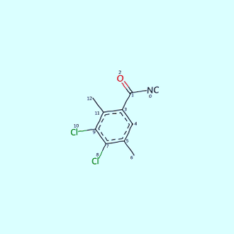 [C-]#[N+]C(=O)c1cc(C)c(Cl)c(Cl)c1C